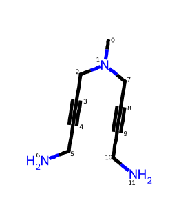 CN(CC#CCN)CC#CCN